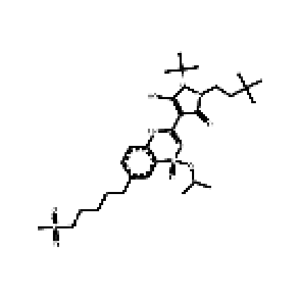 CC(C)OP1(=O)N=C(C2=C(O)[C@H](C(C)(C)C)N(CCC(C)(C)C)C2=O)Nc2ccc(CCCCCS(C)(=O)=O)cc21